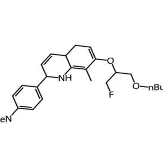 CCCCOCC(CF)OC1=CCC2C=CC(c3ccc(NC)cc3)NC2=C1C